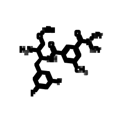 CCCCOCC(N)[C@H](Cc1cc(F)cc(F)c1)NC(=O)c1cc(C)cc(C(=O)N(CCC)CCC)c1